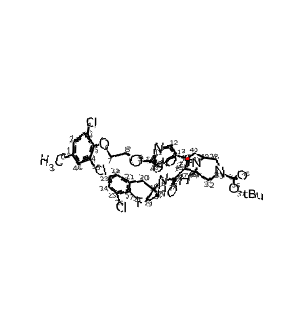 Cc1cc(Cl)c(OCCOc2ncc(C3=C(C(=O)NC4(Cc5cccc(Cl)c5F)CC4)[C@H]4CN(C(=O)OC(C)(C)C)CC(C3)N4C(=O)O)s2)c(Cl)c1